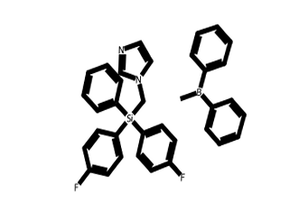 CB(c1ccccc1)c1ccccc1.Fc1ccc([Si](Cn2ccnc2)(c2ccccc2)c2ccc(F)cc2)cc1